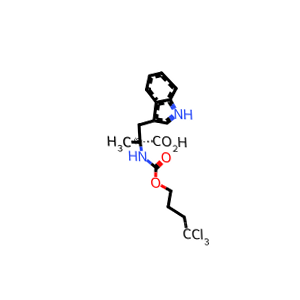 C[C@@](Cc1c[nH]c2ccccc12)(NC(=O)OCCCC(Cl)(Cl)Cl)C(=O)O